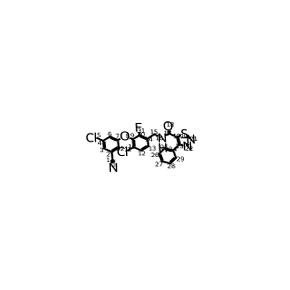 N#Cc1cc(Cl)cc(Oc2c(Cl)ccc(CNC(=O)c3snnc3-c3ccccc3)c2F)c1